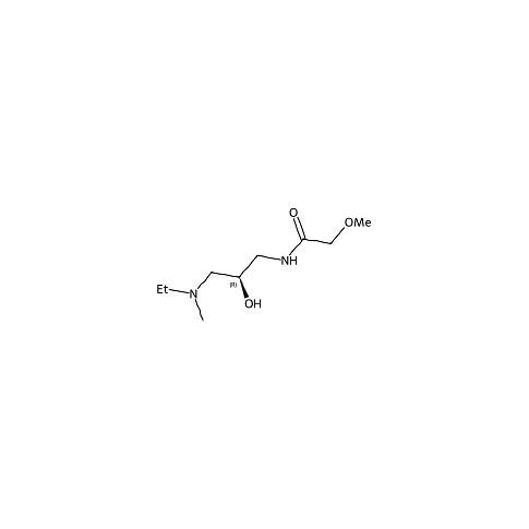 CCN(C)C[C@H](O)CNC(=O)COC